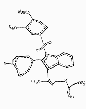 COc1ccc(S(=O)(=O)n2c(-c3ccc(Cl)cc3)c(/C(C)=N\NC(=N)N)c3ccccc32)cc1OC